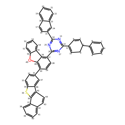 C1=CC(c2ccccc2)CC=C1c1nc(-c2ccc3ccccc3c2)nc(-c2ccc(-c3ccc4sc5c6ccccc6ccc5c4c3)c3oc4ccccc4c23)n1